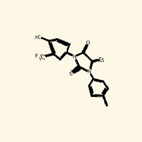 CCC1C(=O)N(c2ccc(C#N)c(C(F)(F)F)c2)C(=S)N1c1ccc(C)cc1